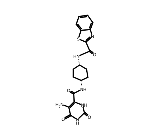 Nc1c(C(=O)N[C@H]2CC[C@@H](NC(=O)c3nc4ccccc4s3)CC2)[nH]c(=O)[nH]c1=O